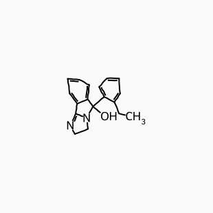 CCc1ccccc1C1(O)c2ccccc2C2=NCCN21